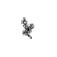 O=C1NC(=O)C(CN(Cc2cccnc2)S(=O)(=O)c2ccc(Oc3ccc(F)cc3)cc2)N1